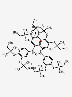 CC(C)(C)CC(C)(C)Oc1ccc([SiH](O[SiH](c2ccc(OC(C)(C)CC(C)(C)C)c(OC(C)(C)CC(C)(C)C)c2)c2ccc(OC(C)(C)CC(C)(C)C)c(OC(C)(C)CC(C)(C)C)c2)c2ccc(OC(C)(C)CC(C)(C)C)c(OC(C)(C)CC(C)(C)C)c2)cc1OC(C)(C)CC(C)(C)C